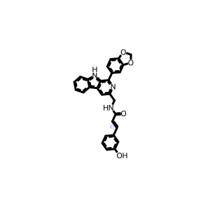 O=C(/C=C/c1cccc(O)c1)NCc1cc2c([nH]c3ccccc32)c(-c2ccc3c(c2)OCO3)n1